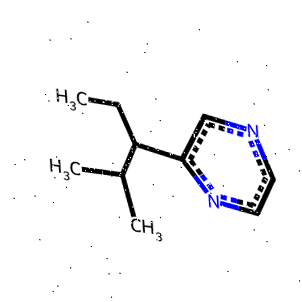 CCC(c1cnccn1)C(C)C